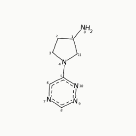 NC1CCN(c2cncnn2)C1